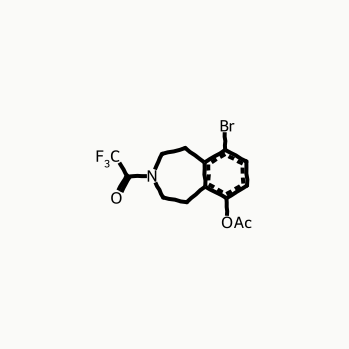 CC(=O)Oc1ccc(Br)c2c1CCN(C(=O)C(F)(F)F)CC2